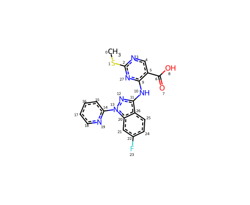 CSc1ncc(C(=O)O)c(Nc2nn(-c3ccccn3)c3cc(F)ccc23)n1